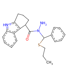 CCCSC(c1ccccc1)N(N)C(=O)C1CCCc2[nH]c3ccccc3c21